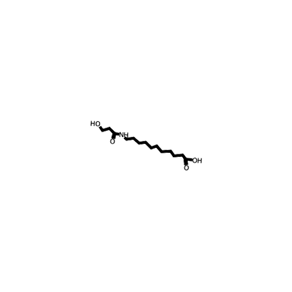 O=C(O)CCCCCCCCCCNC(=O)CCO